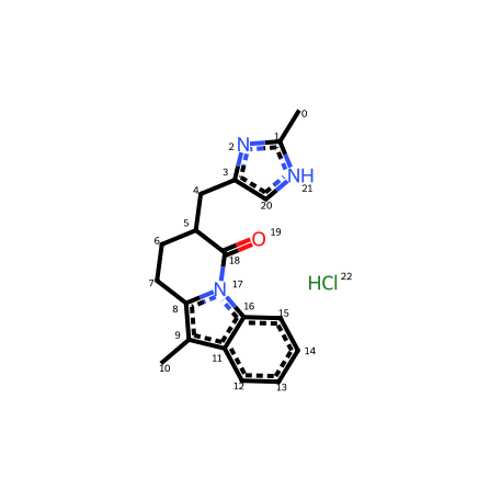 Cc1nc(CC2CCc3c(C)c4ccccc4n3C2=O)c[nH]1.Cl